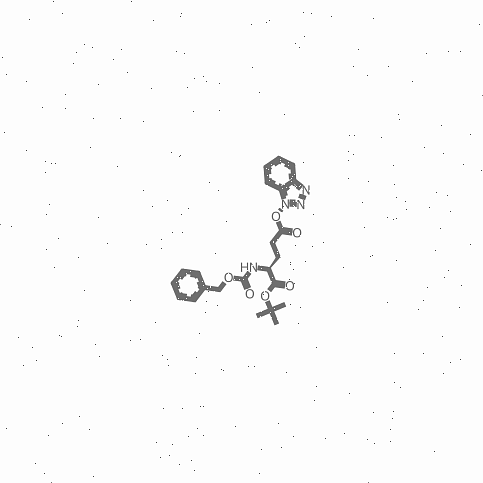 CC(C)(C)OC(=O)[C@H](CCC(=O)On1nnc2ccccc21)NC(=O)OCc1ccccc1